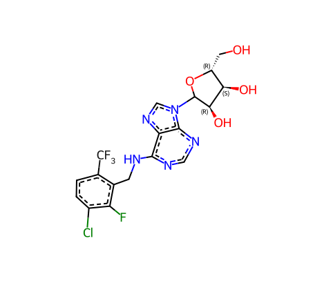 OC[C@H]1OC(n2cnc3c(NCc4c(C(F)(F)F)ccc(Cl)c4F)ncnc32)[C@H](O)[C@@H]1O